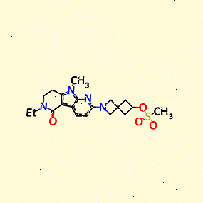 CCN1CCc2c(c3ccc(N4CC5(CC(OS(C)(=O)=O)C5)C4)nc3n2C)C1=O